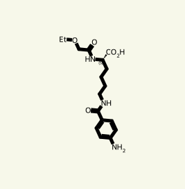 CCOCC(=O)N[C@@H](CCCCNC(=O)c1ccc(N)cc1)C(=O)O